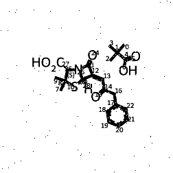 CC(C)(C)C(=O)O.CC1(C)S[C@@H]2C(=CC(=O)Cc3ccccc3)C(=O)N2[C@H]1C(=O)O